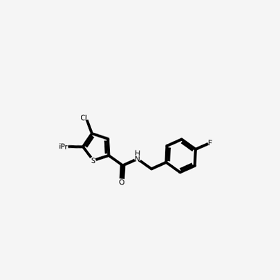 CC(C)c1sc(C(=O)NCc2ccc(F)cc2)cc1Cl